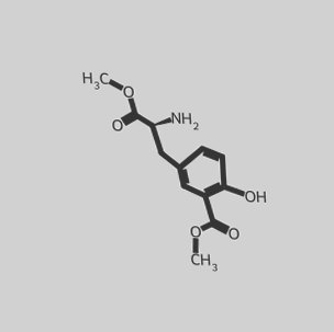 COC(=O)c1cc(C[C@H](N)C(=O)OC)ccc1O